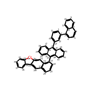 c1cc(-c2cccc3ccccc23)cc(-c2c3ccccc3c(-c3cccc4cc5c(cc34)oc3ccccc35)c3ccccc23)c1